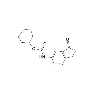 O=C(Nc1ccc2c(c1)C(=O)CC2)OC1CCCCC1